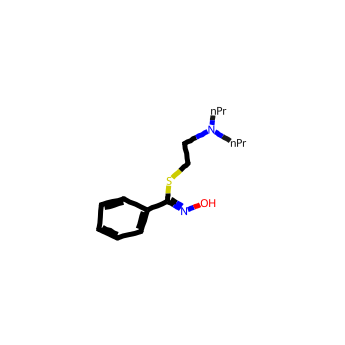 CCCN(CCC)CCSC(=NO)c1ccccc1